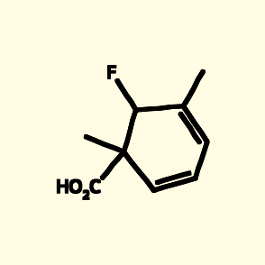 CC1=CC=CC(C)(C(=O)O)C1F